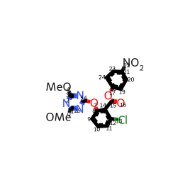 COc1nc(OC)nc(Oc2cccc(Cl)c2C(=O)Oc2ccc([N+](=O)[O-])cc2)n1